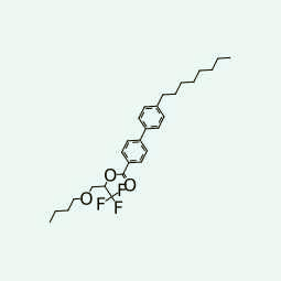 CCCCCCCCc1ccc(-c2ccc(C(=O)OC(COCCCC)C(F)(F)F)cc2)cc1